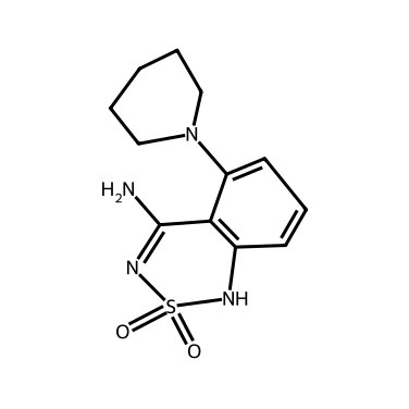 NC1=NS(=O)(=O)Nc2cccc(N3CCCCC3)c21